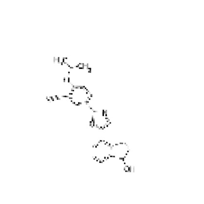 CC(C)Oc1ccc(-c2ncc(-c3cccc4c3CCC4O)o2)cc1C#N